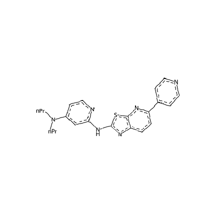 CCCN(CCC)c1ccnc(Nc2nc3ccc(-c4ccncc4)nc3s2)c1